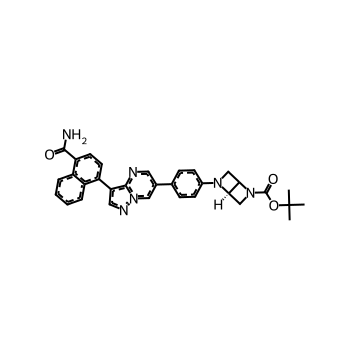 CC(C)(C)OC(=O)N1C[C@@H]2C1CN2c1ccc(-c2cnc3c(-c4ccc(C(N)=O)c5ccccc45)cnn3c2)cc1